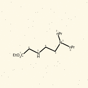 CCCN(CCC)CCNCC(=O)OCC